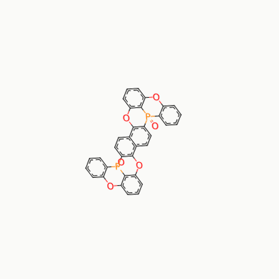 O=P12c3ccccc3Oc3cccc(c31)Oc1c2ccc2c3c(ccc12)P1(=O)c2ccccc2Oc2cccc(c21)O3